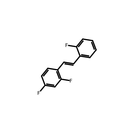 Fc1ccc(C=Cc2ccccc2F)c(F)c1